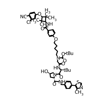 Cc1ncsc1-c1ccc(CNC(=O)[C@@H]2C[C@@H](O)CN2C(=O)[C@@H](NC(=O)CN(CCCCCOc2ccc(C(=O)NC3C(C)(C)C(Oc4ccc(C#N)c(Cl)c4)C3(C)C)cc2)C(=O)OC(C)(C)C)C(C)(C)C)cc1